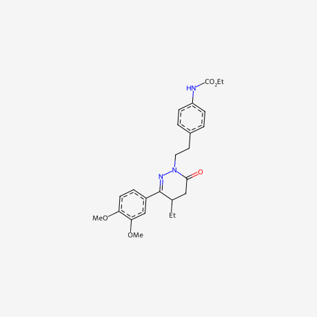 CCOC(=O)Nc1ccc(CCN2N=C(c3ccc(OC)c(OC)c3)C(CC)CC2=O)cc1